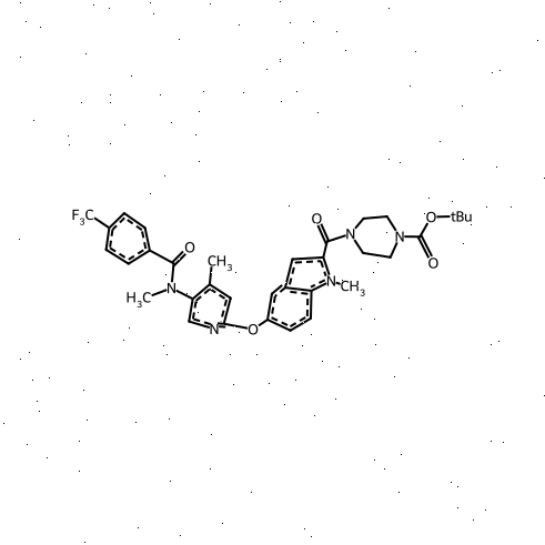 Cc1cc(Oc2ccc3c(c2)cc(C(=O)N2CCN(C(=O)OC(C)(C)C)CC2)n3C)ncc1N(C)C(=O)c1ccc(C(F)(F)F)cc1